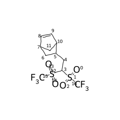 O=S(=O)(C(CC1CC2C=CC1C2)S(=O)(=O)C(F)(F)F)C(F)(F)F